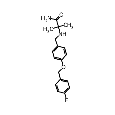 CC(C)(NCc1ccc(OCc2ccc(F)cc2)cc1)C(N)=O